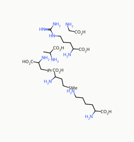 CC(C)CC(N)C(=O)O.CC(N)C(=O)O.CSCCC(N)C(=O)O.N=C(N)NCCCC(N)C(=O)O.NCC(=O)O.NCCCCC(N)C(=O)O